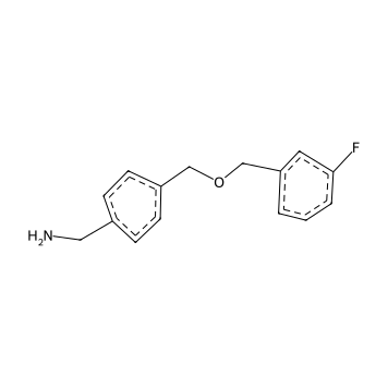 NCc1ccc(COCc2cccc(F)c2)cc1